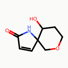 O=C1C=CC2(COCCC2O)N1